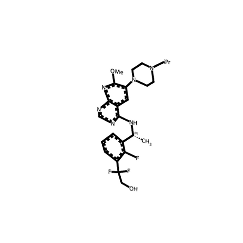 COc1nc2ncnc(N[C@H](C)c3cccc(C(F)(F)CO)c3F)c2cc1N1CCN(C(C)C)CC1